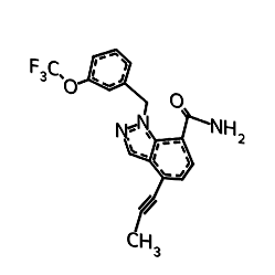 CC#Cc1ccc(C(N)=O)c2c1cnn2Cc1cccc(OC(F)(F)F)c1